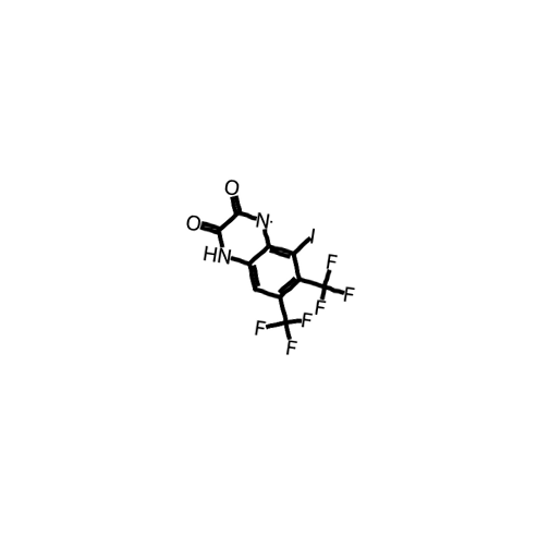 O=C1[N]c2c(cc(C(F)(F)F)c(C(F)(F)F)c2I)NC1=O